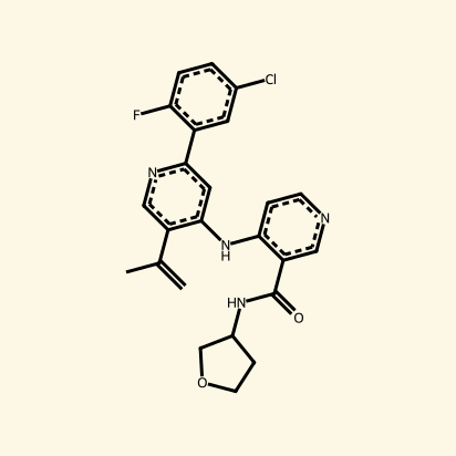 C=C(C)c1cnc(-c2cc(Cl)ccc2F)cc1Nc1ccncc1C(=O)NC1CCOC1